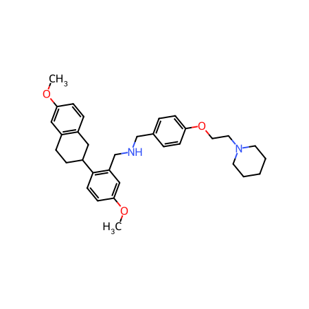 COc1ccc2c(c1)CCC(c1ccc(OC)cc1CNCc1ccc(OCCN3CCCCC3)cc1)C2